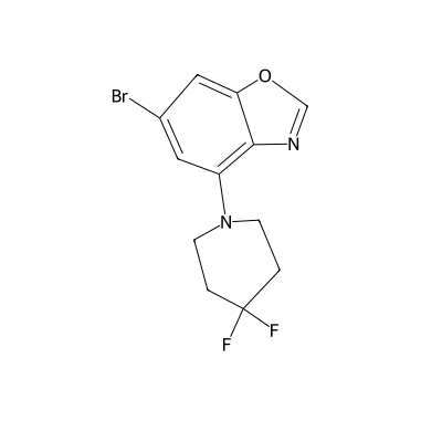 FC1(F)CCN(c2cc(Br)cc3ocnc23)CC1